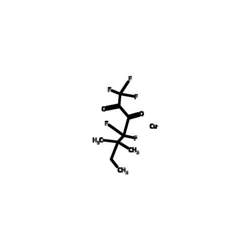 CCC(C)(C)C(F)(F)C(=O)C(=O)C(F)(F)F.[Cu]